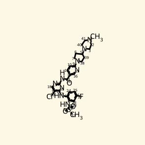 CN1CCN(C2CCN(c3ccc(C(=O)Nc4ncc(Cl)c(Nc5ccc(F)cc5NS(C)(=O)=O)n4)cn3)CC2)CC1